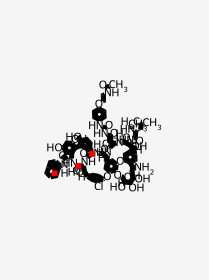 CN[C@H](CC(C)C)C(=O)N[C@H]1C(=O)N[C@@H](CC(=O)NC(=O)Nc2ccc(OCCNC(C)=O)cc2)C(=O)N[C@H]2C(=O)N[C@H]3C(=O)N[C@H](C(=O)N[C@H](C(=O)NC4C5CC6CC(C5)CC4C6)c4cc(O)cc(O)c4-c4cc3ccc4O)[C@H](O)c3ccc(c(Cl)c3)Oc3cc2cc2c3O[C@@H]3O[C@H](C(N)c4cc(ccc4O2)[C@H]1O)[C@@H](O)[C@H](O)[C@H]3O